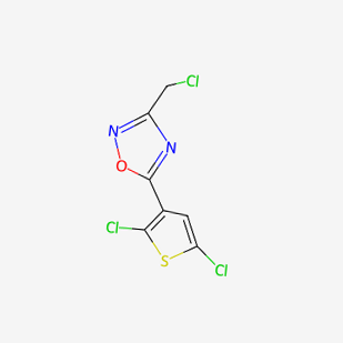 ClCc1noc(-c2cc(Cl)sc2Cl)n1